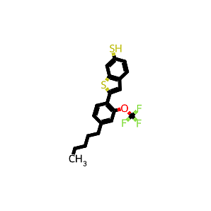 CCCCCc1ccc(-c2cc3ccc(S)cc3s2)c(OC(F)(F)F)c1